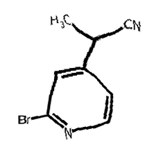 CC(C#N)c1ccnc(Br)c1